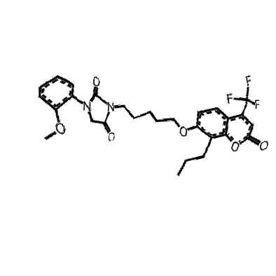 CCCc1c(OCCCCCN2C(=O)CN(c3ccccc3OC)C2=O)ccc2c(C(F)(F)F)cc(=O)oc12